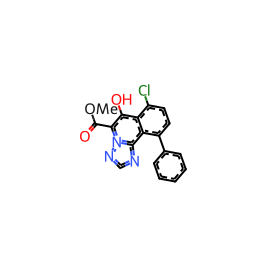 COC(=O)c1c(O)c2c(Cl)ccc(-c3ccccc3)c2c2ncnn12